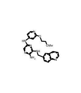 COCCOc1cc(Nc2cnc(N)c(NCc3ccc4ncccc4c3)n2)ccn1